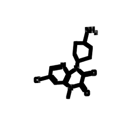 Cn1c(=O)c(=O)n(C2CCC(N)CC2)c2ncc(Cl)cc21